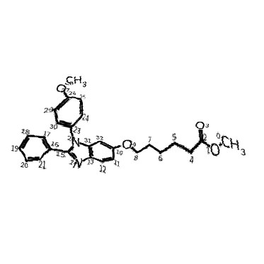 COC(=O)CCCCCOc1ccc2nc(-c3ccccc3)n(-c3ccc(OC)cc3)c2c1